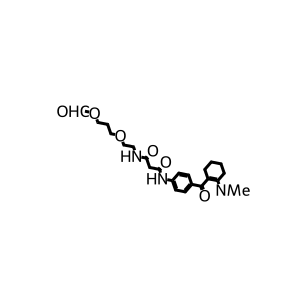 CNC1=C(C(=O)c2ccc(NC(=O)CC(=O)NCCOCCCOC=O)cc2)CCCC1